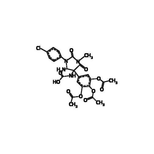 CC(=O)Oc1cc(C2(NC(=O)O)C(=O)N(C)C(=O)N(c3ccc(Cl)cc3)C2N)cc(OC(C)=O)c1OC(C)=O